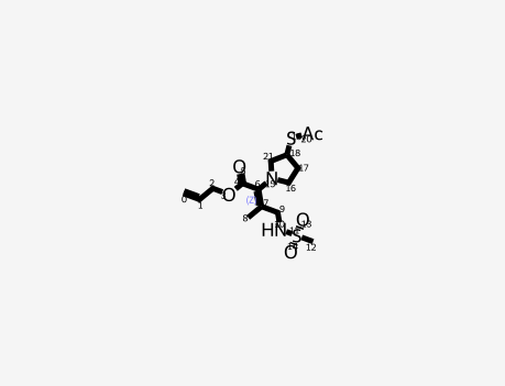 C=CCOC(=O)/C(=C(\C)CNS(C)(=O)=O)N1CCC(SC(C)=O)C1